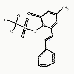 Cc1cc(/C=C/c2ccccc2)n(OS(=O)(=O)C(Cl)(Cl)Cl)c(=O)c1